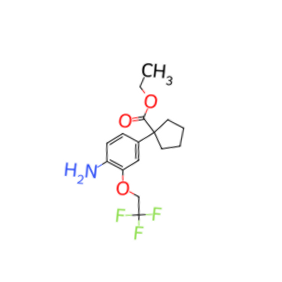 CCOC(=O)C1(c2ccc(N)c(OCC(F)(F)F)c2)CCCC1